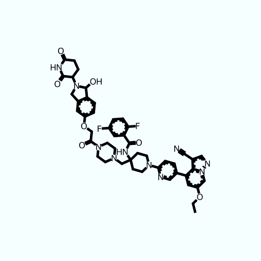 CCOc1cc(-c2ccc(N3CCC(CN4CCN(C(=O)COc5ccc6c(c5)CN(C5CCC(=O)NC5=O)C6O)CC4)(NC(=O)c4cc(F)ccc4F)CC3)nc2)c2c(C#N)cnn2c1